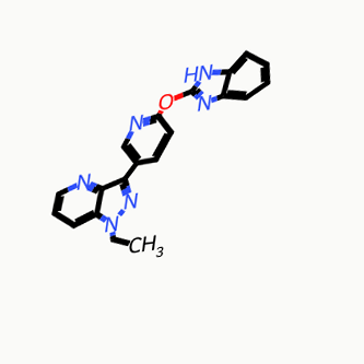 CCn1nc(-c2ccc(Oc3nc4ccccc4[nH]3)nc2)c2ncccc21